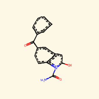 NC(=O)n1c(O)cc2cc(C(=O)c3ccccc3)ccc21